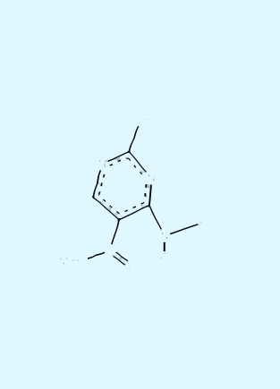 COS(=O)c1cnc(C(C)C)nc1N(C)C